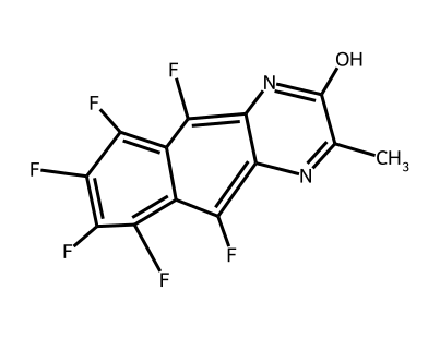 Cc1nc2c(F)c3c(F)c(F)c(F)c(F)c3c(F)c2nc1O